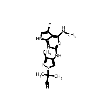 CNc1nc(Nc2cn(C(C)(C)C#N)nc2C)nc2[nH]cc(F)c12